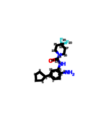 Nc1ccc(C2CCCC2)cc1NC(=O)N1CCC(F)(F)CC1